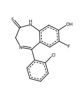 Oc1cc2c(cc1F)C(c1ccccc1Cl)=NCC(=S)N2